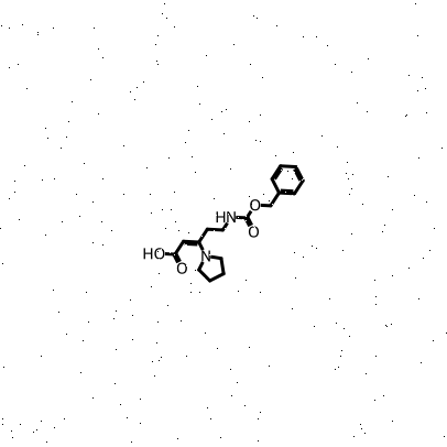 O=C(O)/C=C(/CCNC(=O)OCc1ccccc1)N1CCCC1